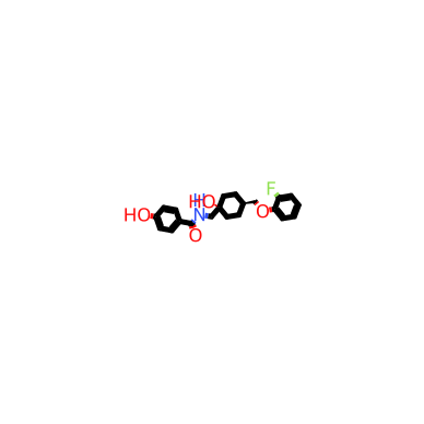 O=C(NC[C@]1(O)CC[C@H](COc2ccccc2F)CC1)c1ccc(O)cc1